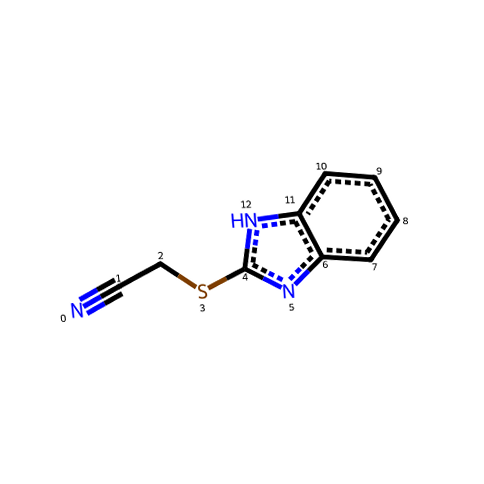 N#CCSc1nc2ccccc2[nH]1